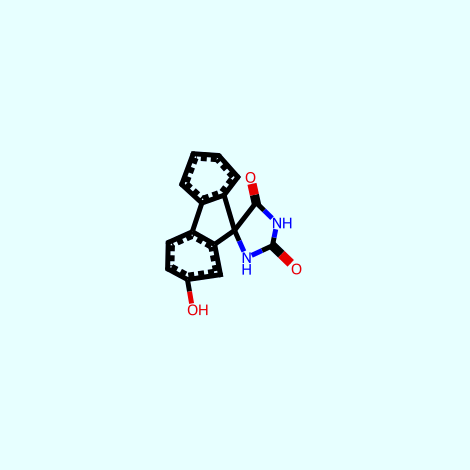 O=C1NC(=O)C2(N1)c1ccccc1-c1ccc(O)cc12